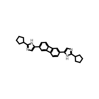 c1cc2c(cc1-c1cnc(C3CCCC3)[nH]1)-c1ccc(-c3cnc(C4CCCC4)[nH]3)cc1-2